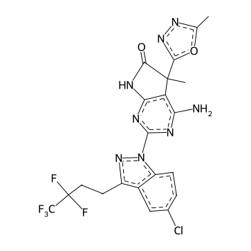 Cc1nnc(C2(C)C(=O)Nc3nc(-n4nc(CCC(F)(F)C(F)(F)F)c5cc(Cl)ccc54)nc(N)c32)o1